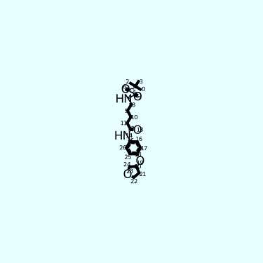 CC(C)(C)S(=O)(=O)NCCCCC(=O)Nc1ccc(OC2CCOC2)cc1